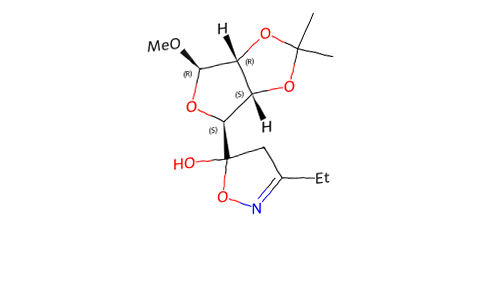 CCC1=NOC(O)([C@H]2O[C@@H](OC)[C@@H]3OC(C)(C)O[C@@H]32)C1